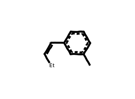 CC/C=[C]\c1cccc(C)c1